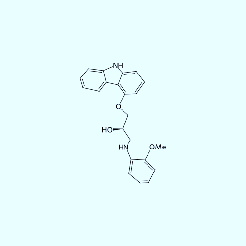 COc1ccccc1NC[C@@H](O)COc1cccc2[nH]c3ccccc3c12